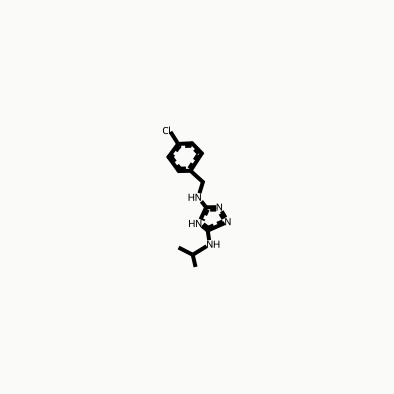 CC(C)Nc1nnc(NCc2ccc(Cl)cc2)[nH]1